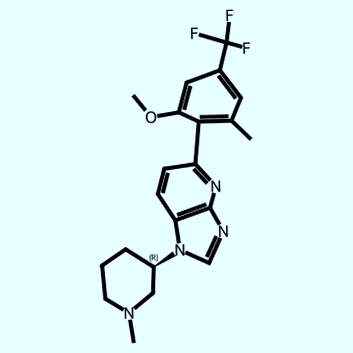 COc1cc(C(F)(F)F)cc(C)c1-c1ccc2c(ncn2[C@@H]2CCCN(C)C2)n1